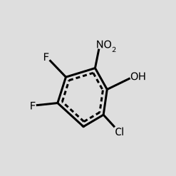 O=[N+]([O-])c1c(O)c(Cl)cc(F)c1F